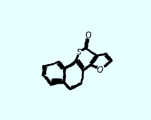 O=c1sc2c3ccccc3ccc2c2occc12